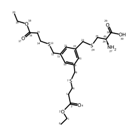 CCOC(=O)CCSCc1cc(CSCCC(=O)OCC)cc(CSC[C@H](N)C(=O)O)c1